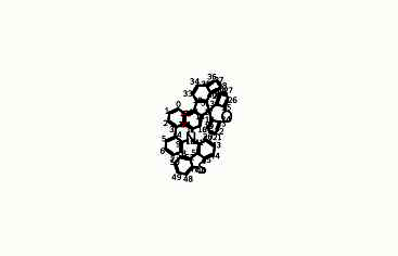 c1ccc(-c2ccccc2N(c2ccc3c(c2)C2(c4ccccc4Oc4ccccc42)c2c-3ccc3ccccc23)c2cccc3sc4ccccc4c23)cc1